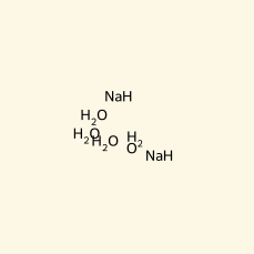 O.O.O.O.[NaH].[NaH]